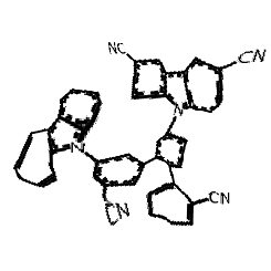 N#CC1=CCCC=C1c1ccc(-n2c3ccc(C#N)cc3c3cc(C#N)ccc32)cc1-c1cc(C#N)cc(-n2c3c(c4ccccc42)C=CCC#C3)c1